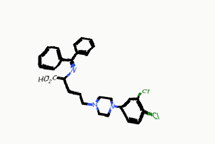 O=C(O)C(CCCN1CCN(c2ccc(Cl)c(Cl)c2)CC1)N=C(c1ccccc1)c1ccccc1